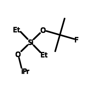 CC[Si](CC)(OC(C)C)OC(C)(C)F